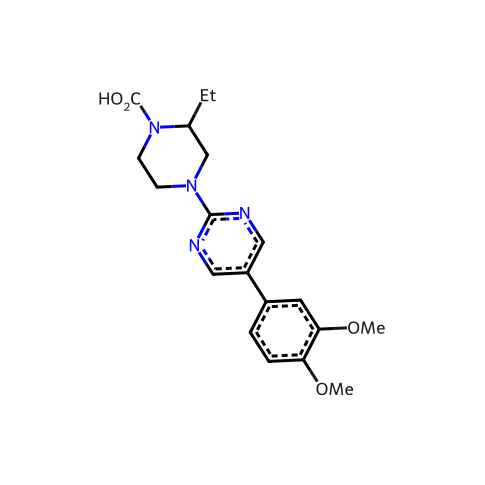 CCC1CN(c2ncc(-c3ccc(OC)c(OC)c3)cn2)CCN1C(=O)O